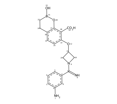 N=C(c1cccc(N)c1)N1CC(Oc2ccc3c(c2C(=O)O)OB(O)CC3)C1